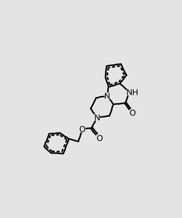 O=C1Nc2ccccc2N2CCN(C(=O)OCc3ccccc3)CC12